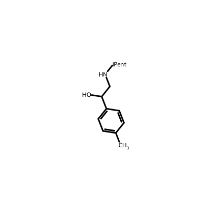 CCCC(C)NCC(O)c1ccc(C)cc1